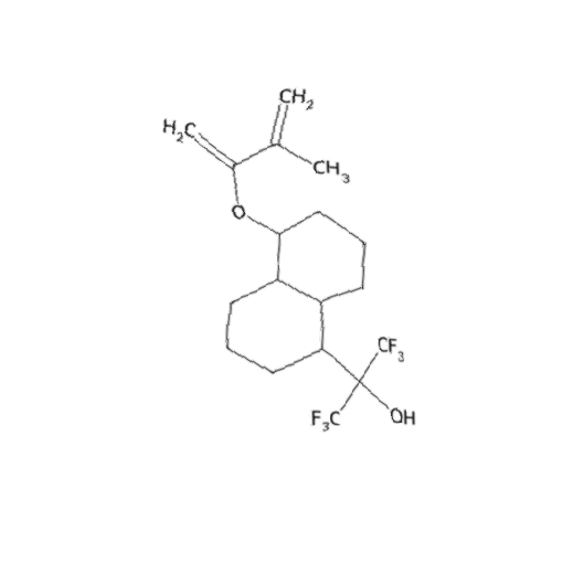 C=C(C)C(=C)OC1CCCC2C1CCCC2C(O)(C(F)(F)F)C(F)(F)F